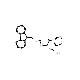 O=C(O)C[C@H](NC(=O)OCC1c2ccccc2-c2ccccc21)C(=O)N1CC2CCCC1CO2